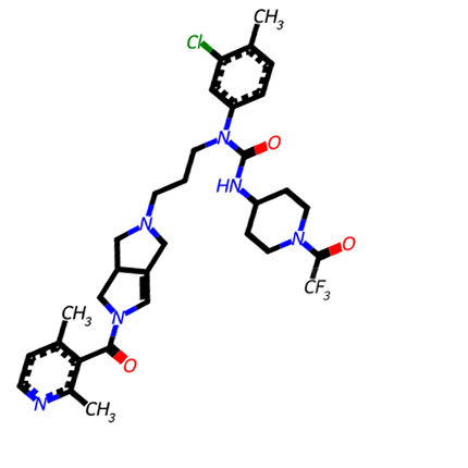 Cc1ccc(N(CCCN2CC3=CN(C(=O)c4c(C)ccnc4C)CC3C2)C(=O)NC2CCN(C(=O)C(F)(F)F)CC2)cc1Cl